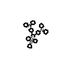 C1=C(c2ccc(N(c3ccccc3)c3ccccc3)cc2)C(c2ccc(N(c3ccccc3)c3ccccc3)cc2)=C[Si]12c1ccccc1B(c1ccccc1)c1ccccc12